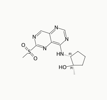 C[C@@]1(O)CCC[C@H]1Nc1ncnc2cnc(S(C)(=O)=O)nc12